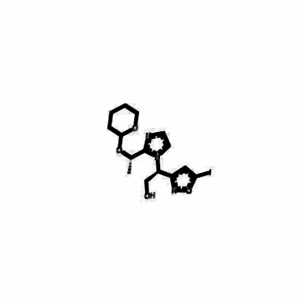 C[C@H](OC1CCCCO1)c1nccn1[C@H](CO)c1cc(I)on1